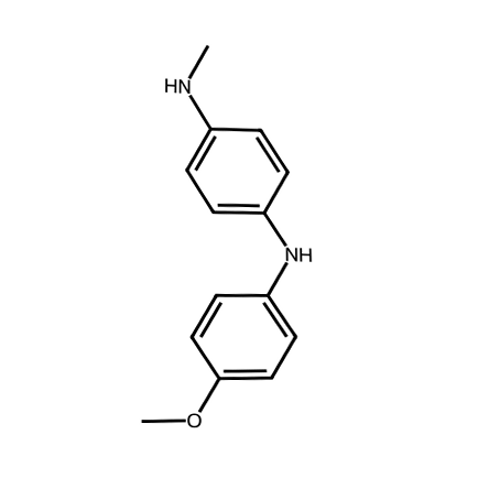 CNc1ccc(Nc2ccc(OC)cc2)cc1